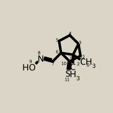 CC1(C)C2CCC1(C=NO)C(=S)C2